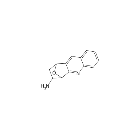 NC1CC2OC1c1nc3ccccc3cc12